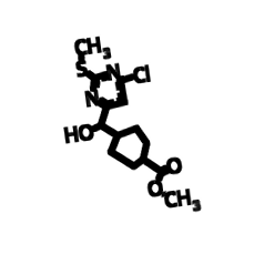 COC(=O)C1CCC(C(O)c2cc(Cl)nc(SC)n2)CC1